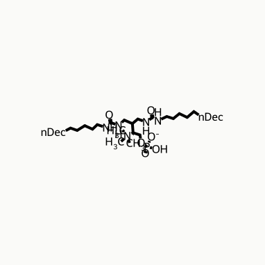 CCCCCCCCCCCCCCCNC(=O)NCC(CNC(=O)NCCCCCCCCCCCCCCC)C(COP(=O)([O-])O)[N+](C)(C)C